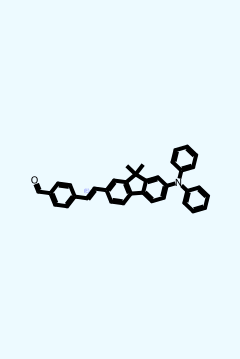 CC1(C)c2cc(/C=C/c3ccc(C=O)cc3)ccc2-c2ccc(N(c3ccccc3)c3ccccc3)cc21